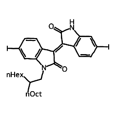 CCCCCCCCC(CCCCCC)CN1C(=O)/C(=C2/C(=O)Nc3cc(I)ccc32)c2ccc(I)cc21